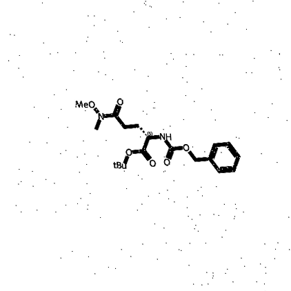 CON(C)C(=O)CC[C@H](NC(=O)OCc1ccccc1)C(=O)OC(C)(C)C